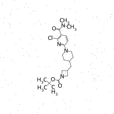 CN(C)C(=O)c1ccc(N2CCC(CC3CN(C(=O)OC(C)(C)C)C3)CC2)nc1Cl